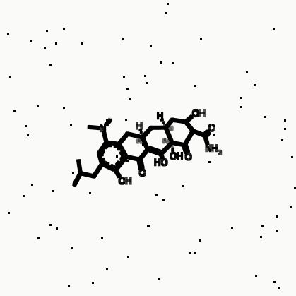 CC(C)Cc1cc(N(C)C)c2c(c1O)C(=O)C1=C(O)[C@]3(O)C(=O)C(C(N)=O)C(O)C[C@@H]3C[C@@H]1C2